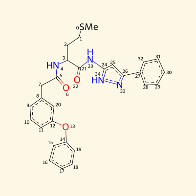 CSCCC(NC(=O)Cc1cccc(Oc2ccccc2)c1)C(=O)Nc1cc(-c2ccccc2)n[nH]1